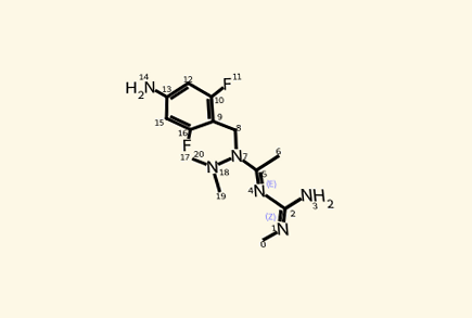 C/N=C(N)\N=C(/C)N(Cc1c(F)cc(N)cc1F)N(C)C